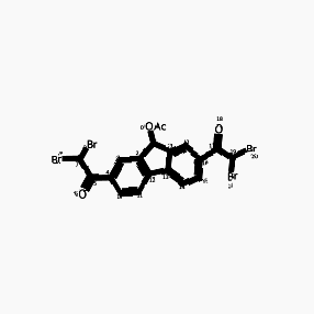 CC(=O)OC1c2cc(C(=O)C(Br)Br)ccc2-c2ccc(C(=O)C(Br)Br)cc21